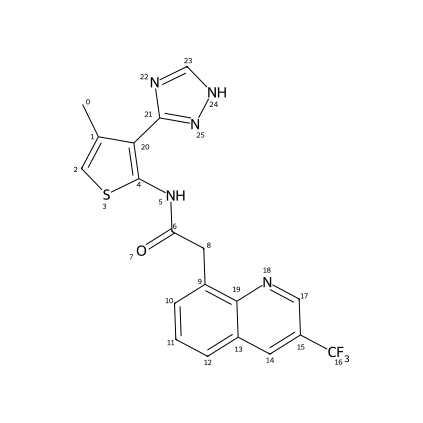 Cc1csc(NC(=O)Cc2cccc3cc(C(F)(F)F)cnc23)c1-c1nc[nH]n1